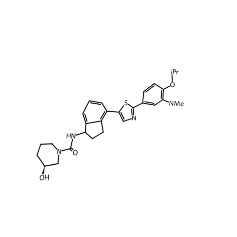 CNc1cc(-c2ncc(-c3cccc4c3CCC4NC(=O)N3CCC[C@H](O)C3)s2)ccc1OC(C)C